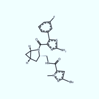 Cn1nc(C(C)(C)C)cc1C(=O)NC[C@@H]1C[C@@H]2C[C@@H]2N1C(=O)c1nc(N)sc1-c1cccc(F)c1